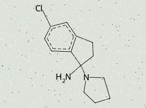 NC1(N2CCCC2)CCc2cc(Cl)ccc21